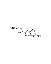 CCCCC1CCC(c2ccc3cc(CC)ccc3c2)CC1